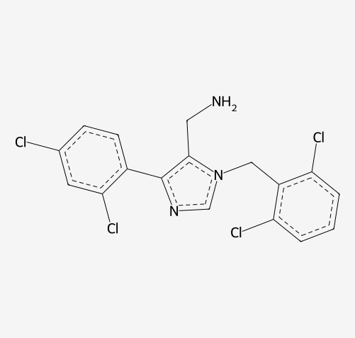 NCc1c(-c2ccc(Cl)cc2Cl)ncn1Cc1c(Cl)cccc1Cl